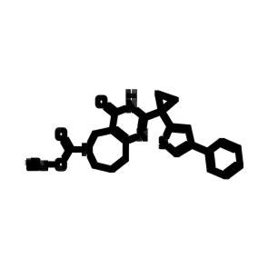 CC(C)(C)OC(=O)N1CCCc2nc(C3(c4cc(-c5ccccc5)cs4)CC3)[nH]c(=O)c2C1